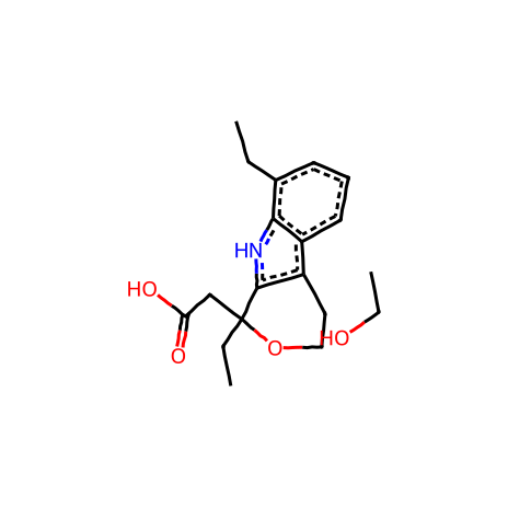 CCO.CCc1cccc2c3c([nH]c12)C(CC)(CC(=O)O)OCC3